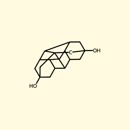 OC12CC3C4CC5C6CC7(O)CC5C(C4C1)C(C2)(C7)C36